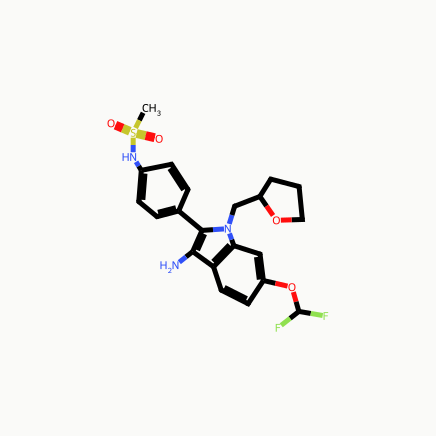 CS(=O)(=O)Nc1ccc(-c2c(N)c3ccc(OC(F)F)cc3n2CC2CCCO2)cc1